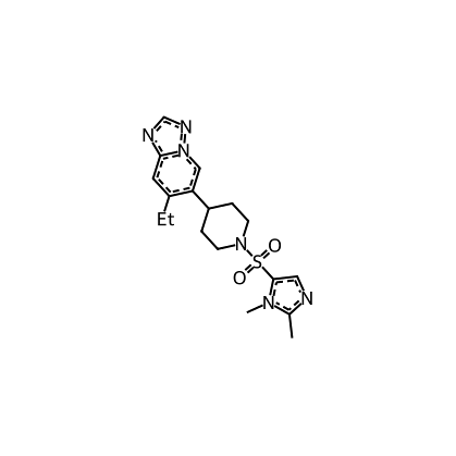 CCc1cc2ncnn2cc1C1CCN(S(=O)(=O)c2cnc(C)n2C)CC1